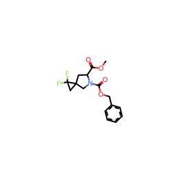 COC(=O)C1CC2(CN1C(=O)OCc1ccccc1)CC2(F)F